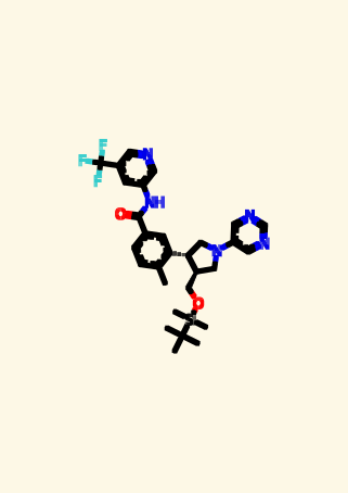 Cc1ccc(C(=O)Nc2cncc(C(F)(F)F)c2)cc1[C@@H]1CN(c2cncnc2)C[C@H]1CO[Si](C)(C)C(C)(C)C